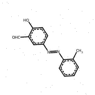 Cc1ccccc1N=Nc1ccc(O)c(C=O)c1